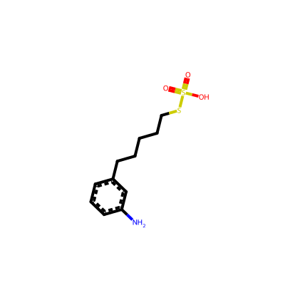 Nc1cccc(CCCCCSS(=O)(=O)O)c1